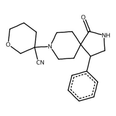 N#CC1(N2CCC3(CC2)C(=O)NCC3c2ccccc2)CCCOC1